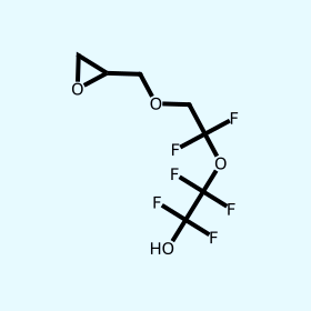 OC(F)(F)C(F)(F)OC(F)(F)COCC1CO1